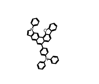 c1ccc(N(c2ccccc2)c2ccc(-c3cc4cc5ccn(-c6ccccc6)c5cc4c4c3ccc3c5ccccc5oc34)cc2)cc1